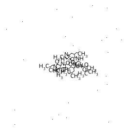 CCC(Cc1nc(C)cs1)C(=O)NC(CNC(=O)OC(C)(C)C)C(=O)NC(CC(C)C)C(O)CC(C)C(=O)NC(C(=O)NCC(C)C)C(C)C